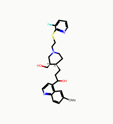 COc1ccc2nccc(C(O)CC[C@@H]3CCN(CCSc4ncccc4F)C[C@@H]3CO)c2c1